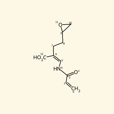 C=CC(=O)NC=C(CCC1CO1)C(=O)O